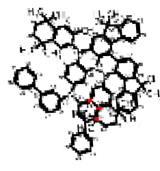 Cc1cc2c(cc1N1c3ccc(N(c4cccc(-c5ccccc5)c4)c4cccc(-c5ccccc5)c4)cc3B3c4c1cc1c(c4-c4ccc5c(c4N3c3ccc4c(c3)C(C)(C)CCC4(C)C)-c3ccccc3C5(C)C)-c3ccccc3C1(C)C)C(C)(C)CCC2(C)C